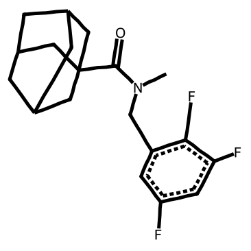 CN(Cc1cc(F)cc(F)c1F)C(=O)C12CC3CC(CC(C3)C1)C2